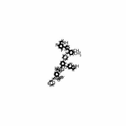 CC1(C)CCC(CN2CCN(c3ccc(C(=O)NS(=O)(=O)c4ccc(NC[C@H]5COCCO5)c([N+](=O)[O-])c4)c(Oc4cnc5[nH]ccc5c4)c3)CC2)=C(c2cc(-c3c(F)cc(F)c4cc[nH]c34)cs2)C1